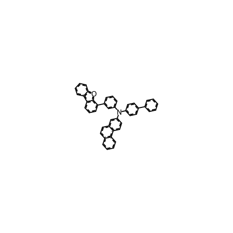 c1ccc(-c2ccc(N(c3cccc(-c4cccc5c4oc4ccccc45)c3)c3ccc4c(ccc5ccccc54)c3)cc2)cc1